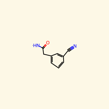 N#Cc1cccc(CC([NH])=O)c1